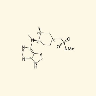 CNS(=O)(=O)C[C@@H]1CC[C@@H](N(C)c2ncnc3[nH]ccc23)[C@@H](C)C1